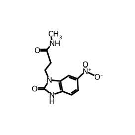 CNC(=O)CCn1c(=O)[nH]c2ccc([N+](=O)[O-])cc21